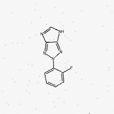 Fc1ccccc1-n1nc2n[c][nH]c2n1